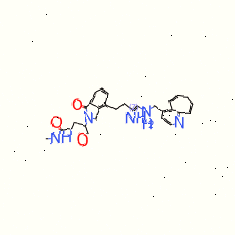 CNC(=O)CCC(C=O)N1Cc2c(CC/C(N)=C/NCc3ccnc4c3C=CCC=C4)cccc2C1=O